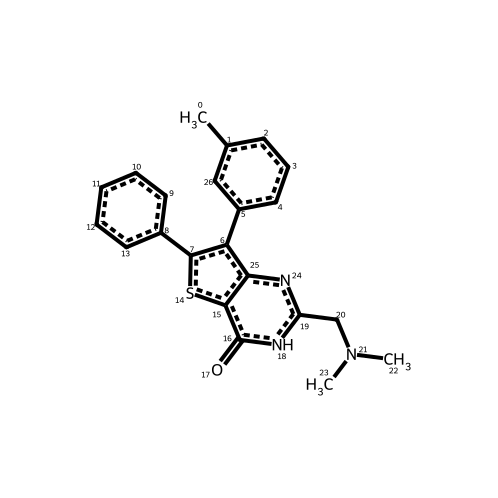 Cc1cccc(-c2c(-c3ccccc3)sc3c(=O)[nH]c(CN(C)C)nc23)c1